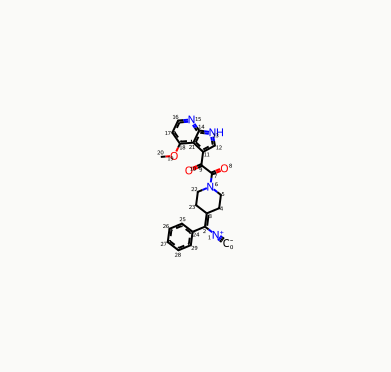 [C-]#[N+]C(=C1CCN(C(=O)C(=O)c2c[nH]c3nccc(OC)c23)CC1)c1ccccc1